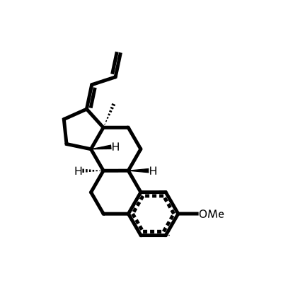 C=C/C=C1/CC[C@H]2[C@@H]3CCc4c[c]c(OC)cc4[C@H]3CC[C@]12C